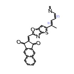 C=N/C=C\C=C(/C)c1cc2oc(C=C3C(=O)c4cc5ccccc5cc4C3=O)nc2s1